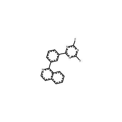 Fc1nc(F)nc(-c2cccc(-c3nccc4ccccc34)c2)n1